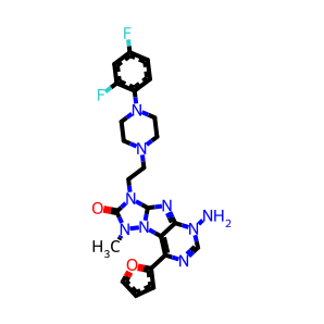 CN1C(=O)N(CCN2CCN(c3ccc(F)cc3F)CC2)C2N=C3C(=C(c4ccco4)N=CN3N)N21